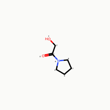 O=C(CO)N1C[CH]CC1